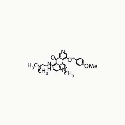 COc1ccc(COc2cncc3c2-c2nn(C)c4ccc(NCCN(C)C)c(c24)C3=O)cc1